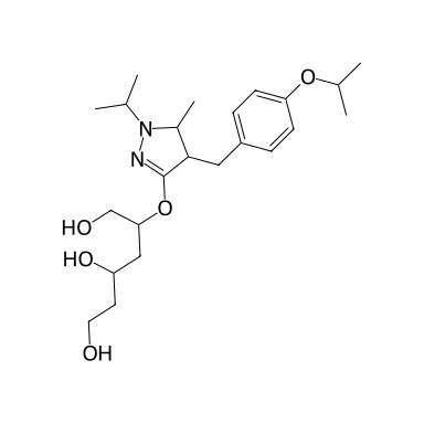 CC(C)Oc1ccc(CC2C(OC(CO)CC(O)CCO)=NN(C(C)C)C2C)cc1